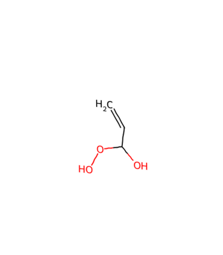 C=CC(O)OO